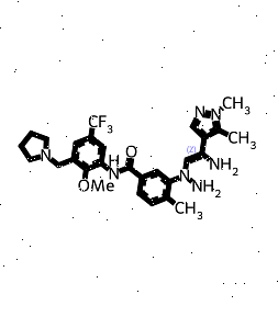 COc1c(CN2CCCC2)cc(C(F)(F)F)cc1NC(=O)c1ccc(C)c(N(N)/C=C(\N)c2cnn(C)c2C)c1